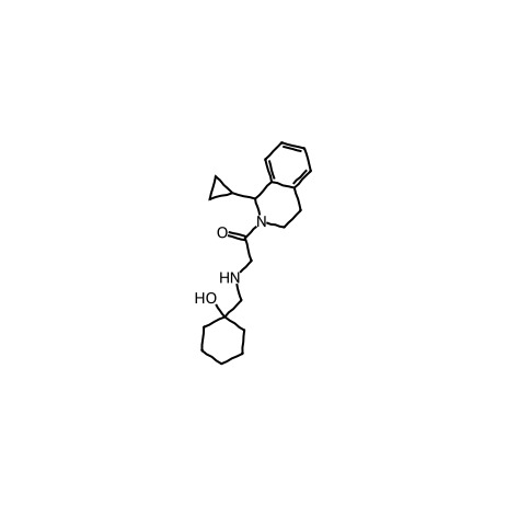 O=C(CNCC1(O)CCCCC1)N1CCc2ccccc2C1C1CC1